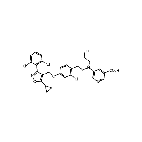 O=C(O)c1cncc(N(CCO)CCc2ccc(OCc3c(-c4c(Cl)cccc4Cl)noc3C3CC3)cc2Cl)c1